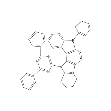 c1ccc(B2c3ccccc3-c3c2ccc2c4c(n(-c5nc(-c6ccccc6)nc(-c6ccccc6)n5)c32)CCCC4)cc1